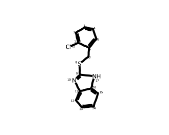 Clc1ccccc1CSc1nc2ccccc2[nH]1